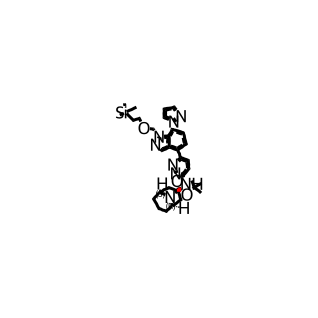 CC(C)(C)OC(=O)N1[C@@H]2CCC[C@H]1CC(Nc1ccc(-c3ccc(-n4cccn4)c4c3cnn4COCC[Si](C)(C)C)nn1)C2